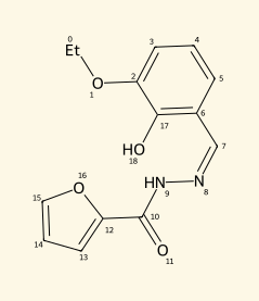 CCOc1cccc(/C=N\NC(=O)c2ccco2)c1O